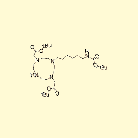 CC(C)(C)OC(=O)CN1CCNCCN(CC(=O)OC(C)(C)C)CCN(CCCCCCNC(=O)OC(C)(C)C)CC1